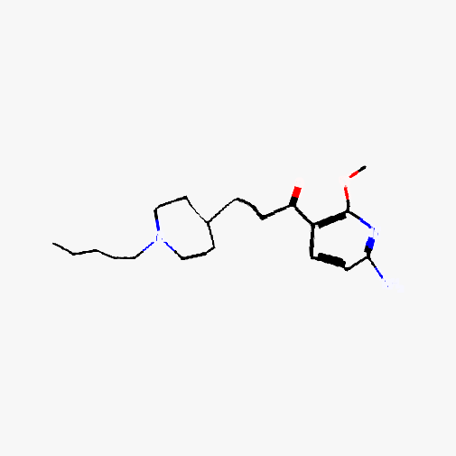 CCCCN1CCC(CCC(=O)c2ccc(N)nc2OC)CC1